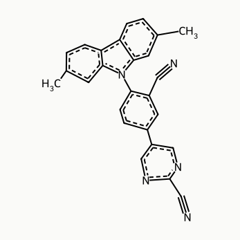 Cc1ccc2c3ccc(C)cc3n(-c3ccc(-c4cnc(C#N)nc4)cc3C#N)c2c1